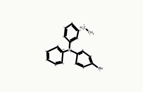 CC.CC(C)(C)c1ccc([S+](c2ccccc2)c2ccccc2)cc1